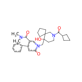 CN(C)C(=O)c1cn(CC2(O)CCN(C(=O)C3CCC3)CC23CCCC3)c(=O)cc1-c1ccccc1